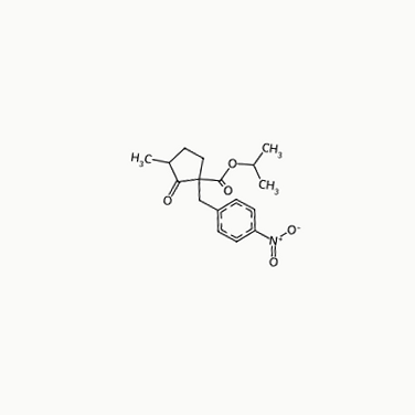 CC(C)OC(=O)C1(Cc2ccc([N+](=O)[O-])cc2)CCC(C)C1=O